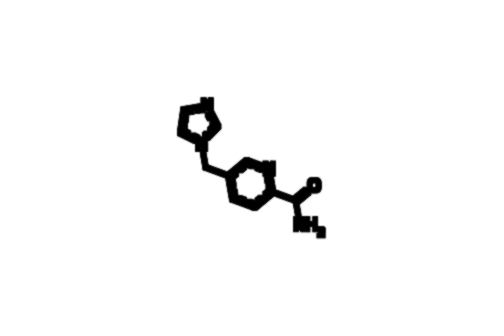 NC(=O)c1ccc(Cn2ccnc2)cn1